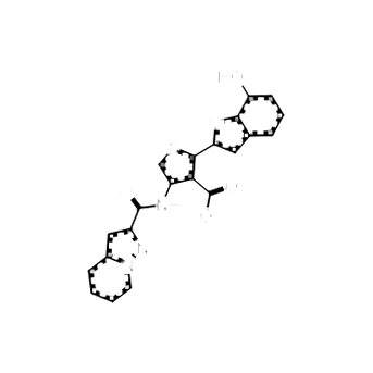 O=C(Nc1csc(-c2cc3cccc(O)c3o2)c1C(=O)O)c1cc2ccccn2n1